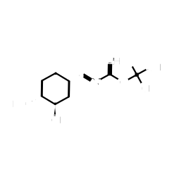 C[C@@H]1CC[C@H](/C=N/C(=O)OC(C)(C)C)C[C@H]1O